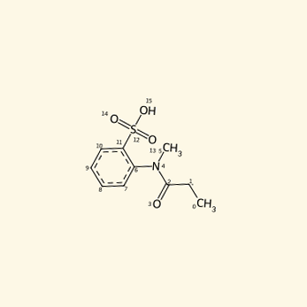 C[CH]C(=O)N(C)c1ccccc1S(=O)(=O)O